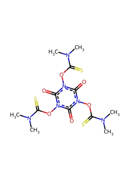 CN(C)C(=S)On1c(=O)n(OC(=S)N(C)C)c(=O)n(OC(=S)N(C)C)c1=O